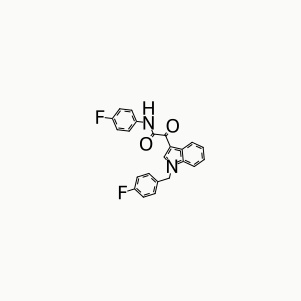 O=C(Nc1ccc(F)cc1)C(=O)c1cn(Cc2ccc(F)cc2)c2ccccc12